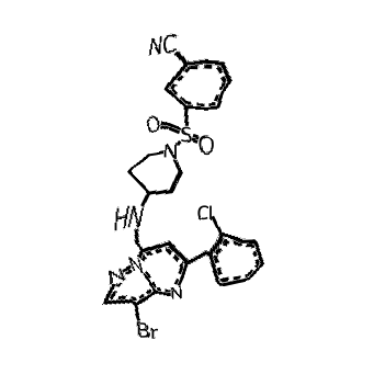 N#Cc1cccc(S(=O)(=O)N2CCC(Nc3cc(-c4ccccc4Cl)nc4c(Br)cnn34)CC2)c1